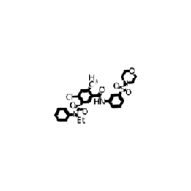 CCN(c1ccccc1)S(=O)(=O)c1cc(C(=O)Nc2cccc(S(=O)(=O)N3CCOCC3)c2)c(C)cc1Cl